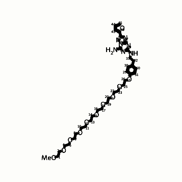 COCCOCCOCCOCCOCCOCCOCCOCCOCCOc1ccc(CCNc2nc(N)n3nc(-c4ccco4)nc3n2)cc1